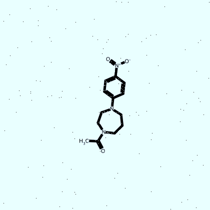 CC(=O)N1CCCN(c2ccc([N+](=O)[O-])cc2)CC1